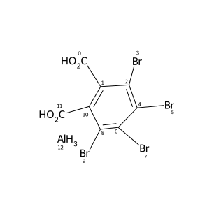 O=C(O)c1c(Br)c(Br)c(Br)c(Br)c1C(=O)O.[AlH3]